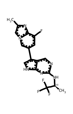 Cc1cn2cc(-c3c[nH]c4nc(N[C@@H](C)C(F)(F)F)ncc34)cc(F)c2n1